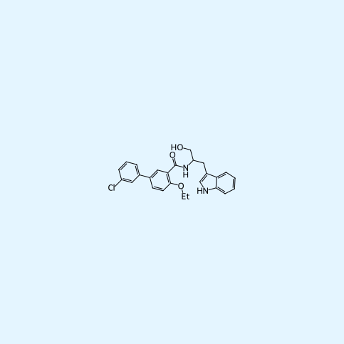 CCOc1ccc(-c2cccc(Cl)c2)cc1C(=O)NC(CO)Cc1c[nH]c2ccccc12